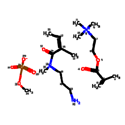 C=C(C)C(=O)OCC[N+](C)(C)C.CC=C(C)C(=O)N(C)CCCN.COS(=O)(=O)[O-]